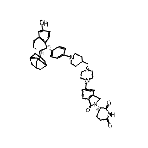 O=C1CC[C@H](N2Cc3cc(N4CCN(CC5CCN(c6ccc([C@H]7c8ccc(O)cc8CC[C@H]7C78CC9CC(CC(C9)C7)C8)cc6)CC5)CC4)ccc3C2=O)C(=O)N1